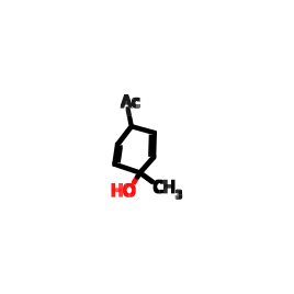 CC(=O)C1C=CC(C)(O)C=C1